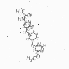 COc1cc(CC2CCCN(Cc3sc(NC(C)=O)nc3F)C2)ncn1